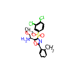 COCC(N)c1oc(-c2ccccc2C)nc1S(=O)(=O)c1ccc(Cl)c(Cl)c1